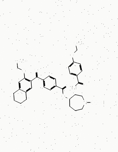 COCOc1ccc(C(=O)N[C@@H]2CN(C(=O)O)CCC[C@H]2OC(=O)c2ccc(C(=O)c3cc4c(cc3OCOC)CCCC4)cc2)cc1